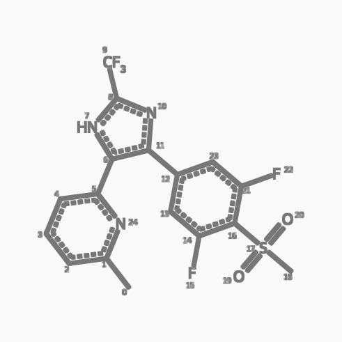 Cc1cccc(-c2[nH]c(C(F)(F)F)nc2-c2cc(F)c(S(C)(=O)=O)c(F)c2)n1